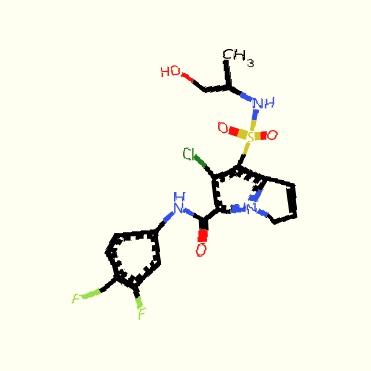 CC(CO)NS(=O)(=O)c1c(Cl)c(C(=O)Nc2ccc(F)c(F)c2)n2c1C=CC2